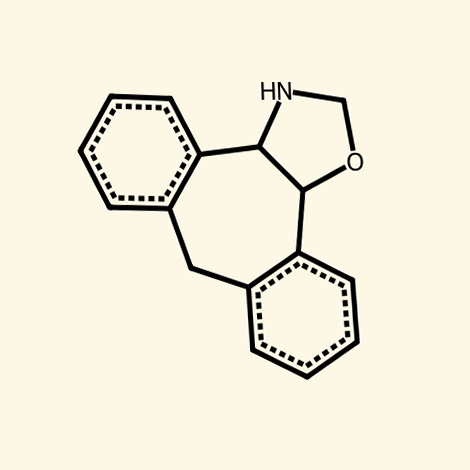 c1ccc2c(c1)Cc1ccccc1C1OCNC21